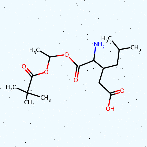 CC(C)CC(CC(=O)O)C(N)C(=O)OC(C)OC(=O)C(C)(C)C